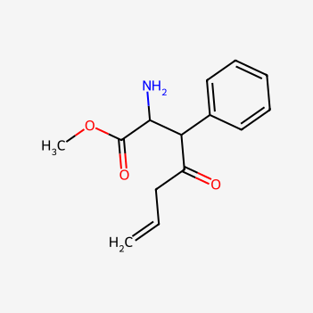 C=CCC(=O)C(c1ccccc1)C(N)C(=O)OC